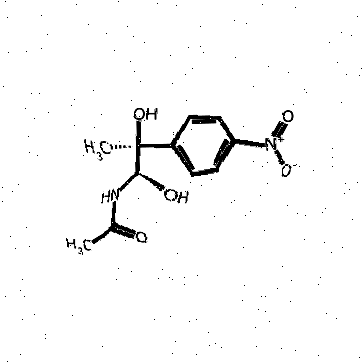 CC(=O)N[C@H](O)[C@@](C)(O)c1ccc([N+](=O)[O-])cc1